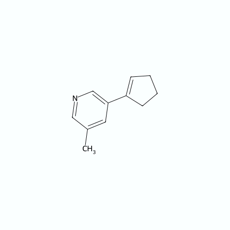 Cc1cncc(C2=CCCC2)c1